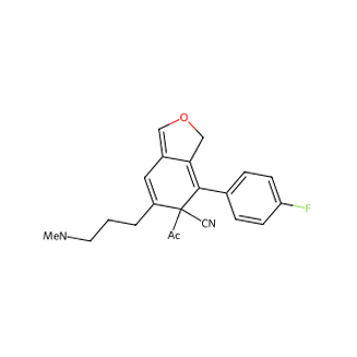 CNCCCC1=CC2=COCC2=C(c2ccc(F)cc2)C1(C#N)C(C)=O